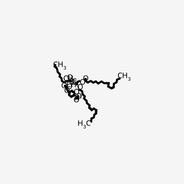 CCCCC/C=C\C/C=C\CCCCCCCC(=O)OCC(COC(=O)CCCCCCC/C=C\C/C=C\CCCCC)COC(=O)C(C)(C)C(CCCCCCCC)OC(=O)Oc1ccc([N+](=O)[O-])cc1